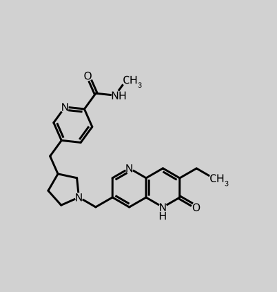 CCc1cc2ncc(CN3CCC(Cc4ccc(C(=O)NC)nc4)C3)cc2[nH]c1=O